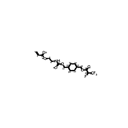 C=CC(=O)OCCNC(=O)OCC1CCC(COC(=O)C(F)C(F)(F)F)CC1